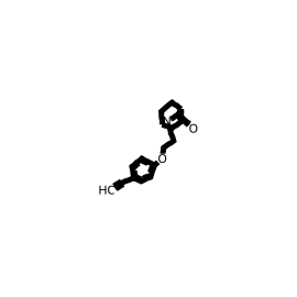 C#Cc1ccc(OCCN2C(=O)C3CCC2CC3)cc1